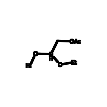 CCO[SiH](COC(C)=O)OCC